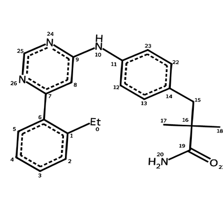 CCc1ccccc1-c1cc(Nc2ccc(CC(C)(C)C(N)=O)cc2)ncn1